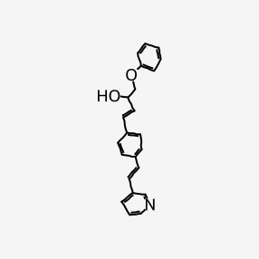 OC(C=Cc1ccc(C=Cc2cccnc2)cc1)COc1ccccc1